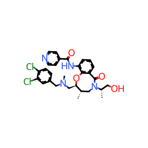 C[C@H]1CN([C@@H](C)CO)C(=O)c2cccc(NC(=O)c3ccncc3)c2O[C@@H]1CN(C)Cc1ccc(Cl)c(Cl)c1